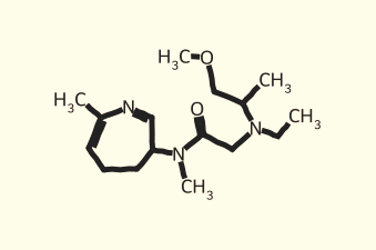 CCN(CC(=O)N(C)C1C=NC(C)=CCC1)C(C)COC